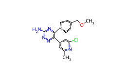 COCc1ccc(-c2nc(N)nnc2-c2cc(C)nc(Cl)c2)cc1